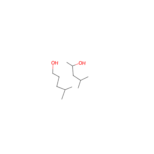 CC(C)CC(C)O.CC(C)CCCO